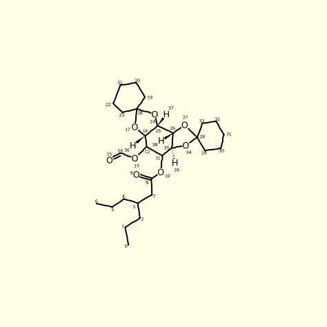 CCCC(CCC)CC(=O)OC1C(OC=O)[C@@H]2OC3(CCCCC3)O[C@@H]2[C@@H]2OC3(CCCCC3)O[C@@H]12